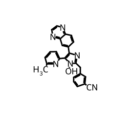 Cc1cccc(-c2c(-c3ccc4nccnc4c3)nc(Cc3cccc(C#N)c3)n2O)n1